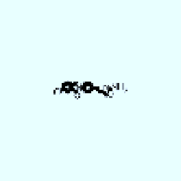 NC1=NC(CCc2ccc(N3Cc4ccc(Cl)cc4C3=O)cc2)CO1